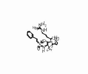 N=C(N)NCCCC(C=O)N(C(=O)C1CCN1)C(=O)[C@@H](CO)NS(=O)(=O)CCc1ccccc1